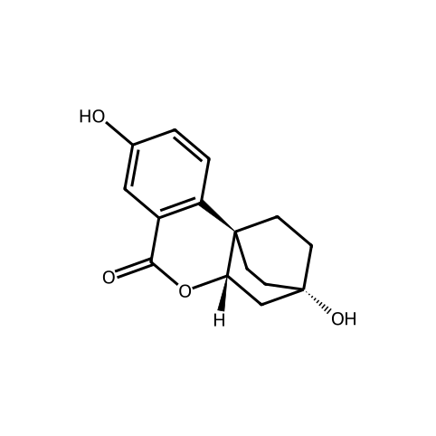 O=C1O[C@H]2C[C@]3(O)CC[C@@]2(CC3)c2ccc(O)cc21